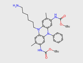 Cc1cc2c(cc1NC(=O)OC(C)(C)C)N(c1ccccc1)c1cc(NC(=O)OC(C)(C)C)c(C)cc1N2CCCCCCN